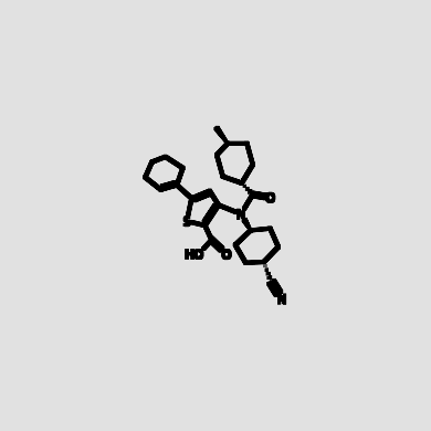 C[C@H]1CC[C@H](C(=O)N(c2cc(C3=CCCCC3)sc2C(=O)O)[C@H]2CC[C@H](C#N)CC2)CC1